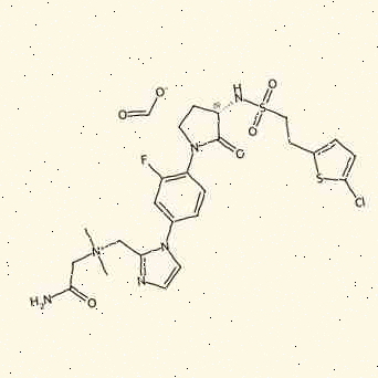 C[N+](C)(CC(N)=O)Cc1nccn1-c1ccc(N2CC[C@H](NS(=O)(=O)CCc3ccc(Cl)s3)C2=O)c(F)c1.O=C[O-]